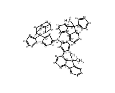 CC1(C)c2ccccc2-c2cccc(-c3cccc(N(c4ccc5c(c4)C4(c6ccccc6-5)C5CC6CC(C5)CC4C6)c4cccc5c4-c4ccccc4C5(C)c4ccccc4)c3)c21